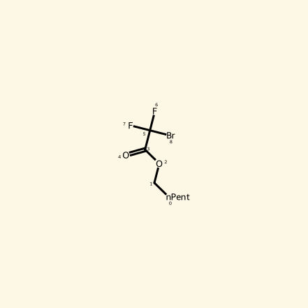 CCCCCCOC(=O)C(F)(F)Br